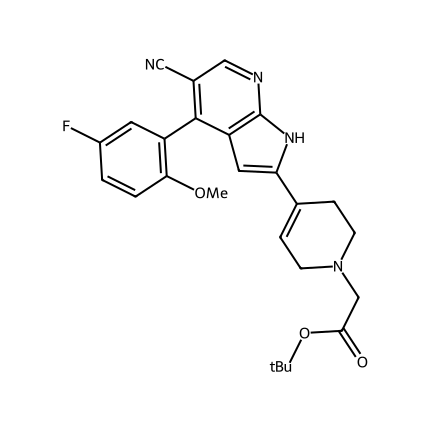 COc1ccc(F)cc1-c1c(C#N)cnc2[nH]c(C3=CCN(CC(=O)OC(C)(C)C)CC3)cc12